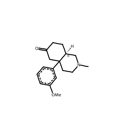 COc1cccc(C23CCN(C)C[C@@H]2CCC(=O)C3)c1